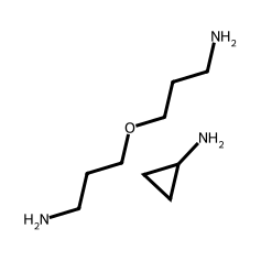 NC1CC1.NCCCOCCCN